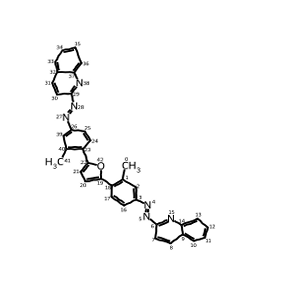 Cc1cc(N=Nc2ccc3ccccc3n2)ccc1-c1ccc(-c2ccc(N=Nc3ccc4ccccc4n3)cc2C)o1